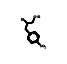 CCC(CC=O)Cc1ccc([N+](=O)[O-])cc1